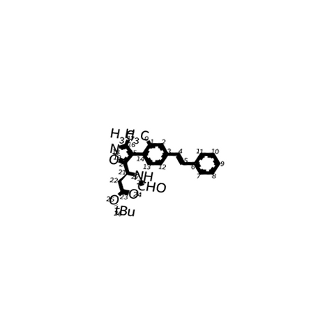 Cc1cc(/C=C/c2ccccc2)ccc1-c1c(C)noc1[C@H](CC(=O)OC(C)(C)C)NC=O